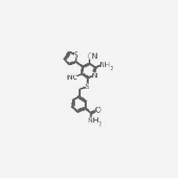 N#Cc1c(N)nc(SCc2cccc(C(N)=O)c2)c(C#N)c1-c1cccs1